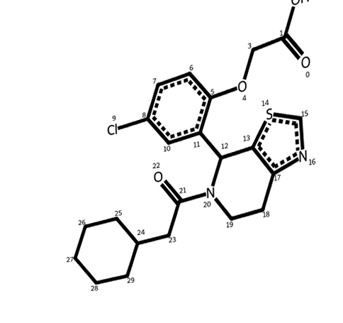 O=C(O)COc1ccc(Cl)cc1C1c2scnc2CCN1C(=O)CC1CCCCC1